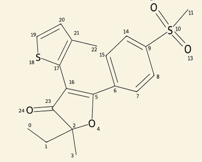 CCC1(C)OC(c2ccc(S(C)(=O)=O)cc2)=C(c2sccc2C)C1=O